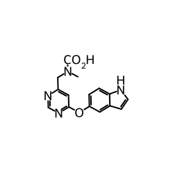 CN(Cc1cc(Oc2ccc3[nH]ccc3c2)ncn1)C(=O)O